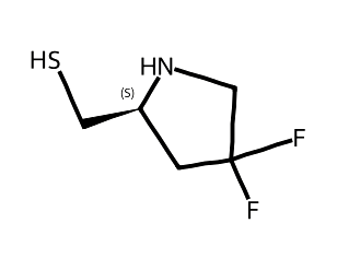 FC1(F)CN[C@H](CS)C1